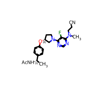 CC(=O)N[C@@H](C)c1ccc(O[C@@H]2CCN(c3ncnc(N(C)CCC#N)c3F)C2)cc1